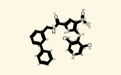 O=C(NCc1cccc(-c2ccccc2)c1)c1cc([N+](=O)[O-])c(Sc2c(Cl)cncc2Cl)s1